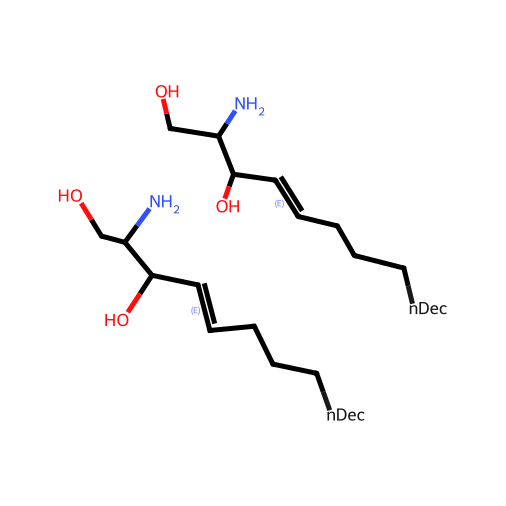 CCCCCCCCCCCCC/C=C/C(O)C(N)CO.CCCCCCCCCCCCC/C=C/C(O)C(N)CO